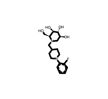 OC[C@H]1[C@@H](O)[C@H](O)[C@@H](O)CN1CC1CCN(c2ccccc2F)CC1